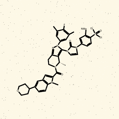 CCP(=O)(CC)c1ccc(-n2ccn(-c3c4c(nn3-c3cc(C)c(F)c(C)c3)CCN(C(=O)c3cc5cc(C6CCOCC6)ccc5n3C)[C@H]4C)c2=O)cc1NC